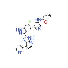 CC(C)CC(=O)Nc1cncc(-c2cc3c(-c4nc5c(-c6cccnc6)ccnc5[nH]4)n[nH]c3cc2F)c1